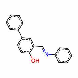 Oc1ccc(-c2ccccc2)cc1C=Nc1ccccc1